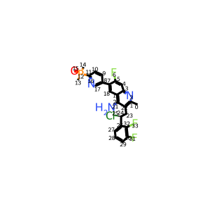 Cc1nc2cc(F)c(-c3ccc(P(C)(C)=O)nc3)cc2c(N)c1C[C@H](Cl)c1cccc(F)c1F